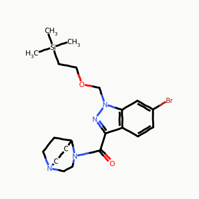 C[Si](C)(C)CCOCn1nc(C(=O)N2CCN3CCC2CC3)c2ccc(Br)cc21